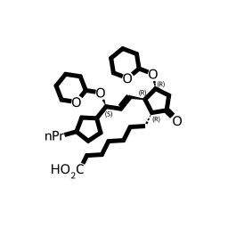 CCCC1CCC([C@@H](C=C[C@H]2[C@H](OC3CCCCO3)CC(=O)[C@@H]2CCCCCCC(=O)O)OC2CCCCO2)C1